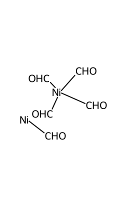 O=[CH][Ni].O=[CH][Ni]([CH]=O)([CH]=O)[CH]=O